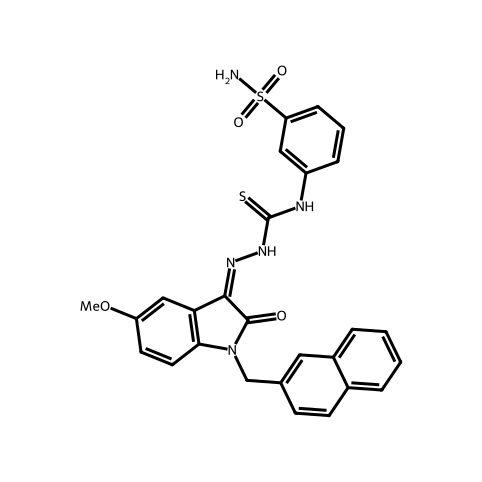 COc1ccc2c(c1)C(=NNC(=S)Nc1cccc(S(N)(=O)=O)c1)C(=O)N2Cc1ccc2ccccc2c1